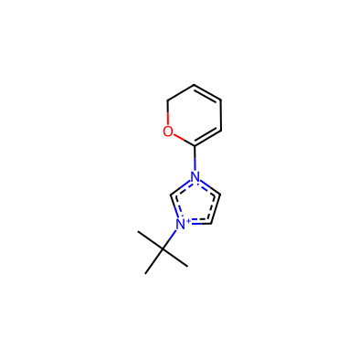 CC(C)(C)[n+]1ccn(C2=CC=CCO2)c1